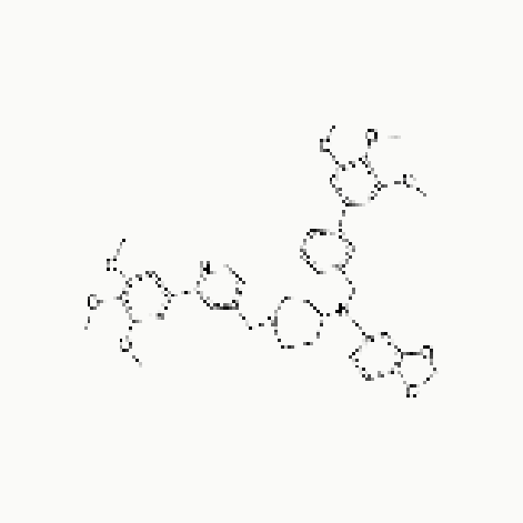 COc1cc(-c2cccc(CN(c3ccc4c(c3)OCO4)C3CCN(Cc4ccnc(-c5cc(OC)c(OC)c(OC)c5)c4)CC3)c2)cc(OC)c1OC